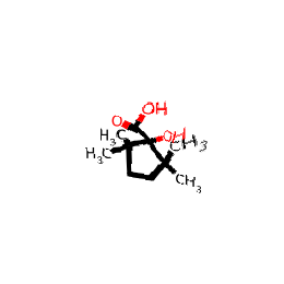 CC1(C)CCC(C)(C)C1(O)C(=O)O